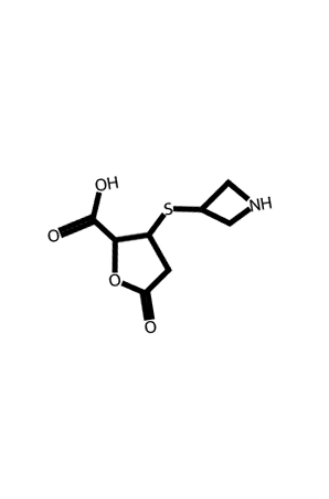 O=C1CC(SC2CNC2)C(C(=O)O)O1